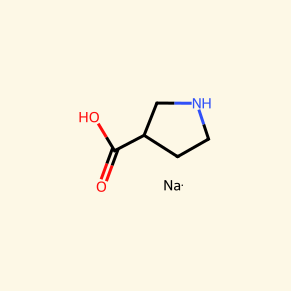 O=C(O)C1CCNC1.[Na]